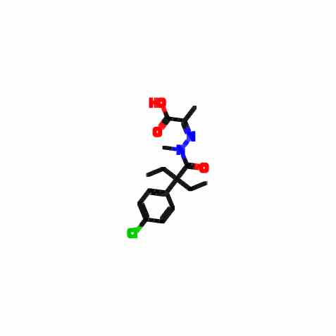 CCC(CC)(C(=O)N(C)N=C(C)C(=O)O)c1ccc(Cl)cc1